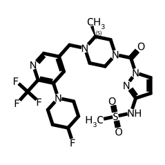 C[C@H]1CN(C(=O)n2ccc(NS(C)(=O)=O)n2)CCN1Cc1cnc(C(F)(F)F)c(N2CCC(F)CC2)c1